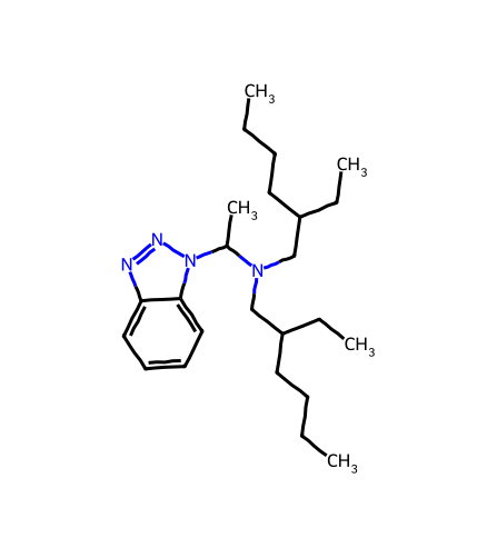 CCCCC(CC)CN(CC(CC)CCCC)C(C)n1nnc2ccccc21